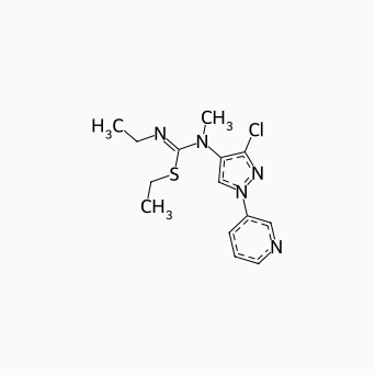 CC/N=C(\SCC)N(C)c1cn(-c2cccnc2)nc1Cl